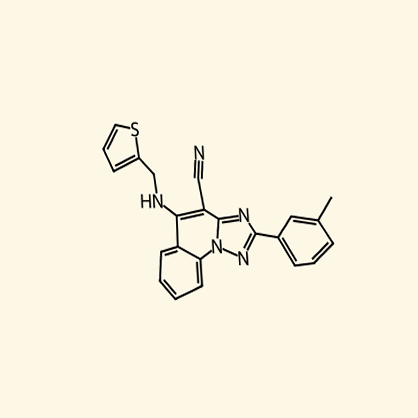 Cc1cccc(-c2nc3c(C#N)c(NCc4cccs4)c4ccccc4n3n2)c1